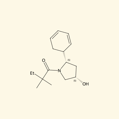 CCC(C)(C)C(=O)N1C[C@@H](O)C[C@H]1C1C=CC=CC1